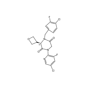 O=C1[C@@H](C2COC2)N(Cc2ccc(Cl)c(F)c2)C(=O)CN1c1ncc(Cl)cc1F